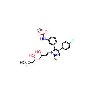 CC(C)c1nc(-c2ccc(F)cc2)c(-c2cccc(NC(=O)OC(C)(C)C)c2)n1/C=C/C(O)CC(O)CC(=O)O